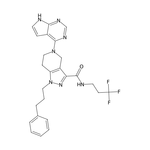 O=C(NCCC(F)(F)F)c1nn(CCCc2ccccc2)c2c1CN(c1ncnc3[nH]ccc13)CC2